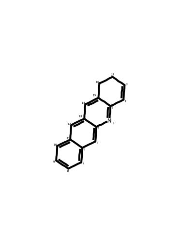 C1=Cc2nc3cc4ccccc4cc3cc2CC1